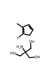 CC1=[C]([Y])CC=C1.NC(CO)(CO)CO